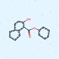 O=C(Oc1ccccc1)c1c(O)ccc2ccccc12